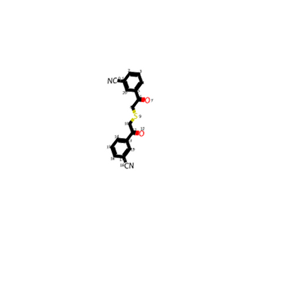 N#Cc1cccc(C(=O)CSCC(=O)c2cccc(C#N)c2)c1